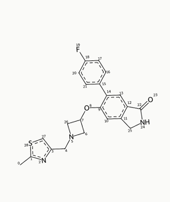 Cc1nc(CN2CC(Oc3cc4c(cc3-c3ccc(F)cc3)C(=O)NC4)C2)cs1